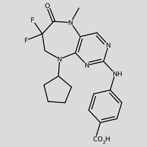 CN1C(=O)C(F)(F)CN(C2CCCC2)c2nc(Nc3ccc(C(=O)O)cc3)ncc21